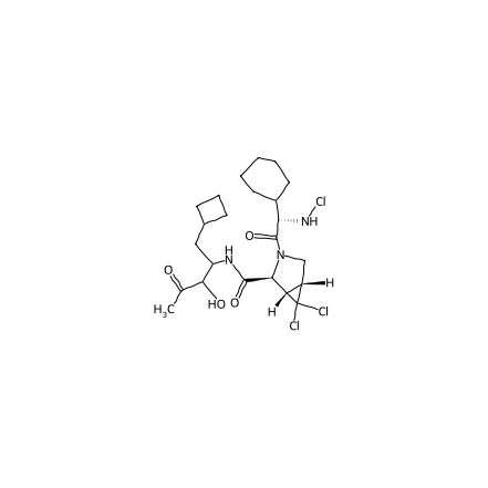 CC(=O)C(O)C(CC1CCC1)NC(=O)[C@@H]1[C@@H]2[C@H](CN1C(=O)[C@@H](NCl)C1CCCCC1)C2(Cl)Cl